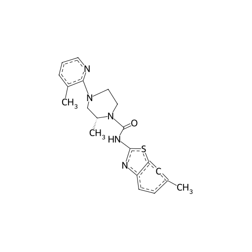 Cc1ccc2nc(NC(=O)N3CCN(c4ncccc4C)C[C@H]3C)sc2c1